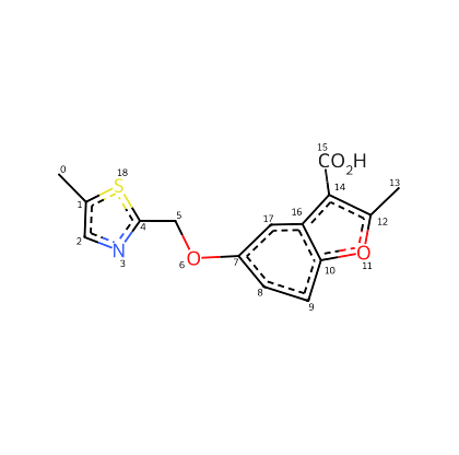 Cc1cnc(COc2ccc3oc(C)c(C(=O)O)c3c2)s1